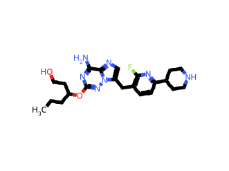 CCCC(CCO)Oc1nc(N)c2ncc(Cc3ccc(C4CCNCC4)nc3F)n2n1